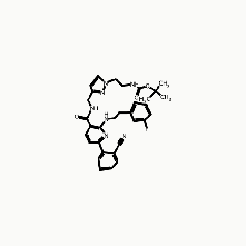 CC(C)(C)OC(=O)NCCn1ccc(CNC(=O)c2ccc(-c3ccccc3C#N)nc2NCCc2cccc(F)c2)n1